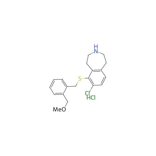 COCc1ccccc1CSc1c(Cl)ccc2c1CCNCC2.Cl